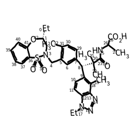 CC[C@@H]1CN(Cc2cc([C@@H](c3ccc4c(nnn4CC)c3C)C(C)(C)C(=O)NC(C)C(=O)O)ccc2C)S(=O)(=O)c2ccccc2O1